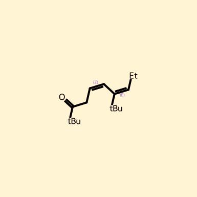 CC/C=C(\C=C/CC(=O)C(C)(C)C)C(C)(C)C